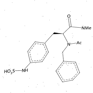 CNC(=O)[C@H](Cc1ccc(NS(=O)(=O)O)cc1)N(Cc1ccccc1)C(C)=O